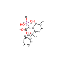 CC1CCC(C(C)(C)c2ccccc2)C(C(C(=O)O)P(=O)(O)O)C1